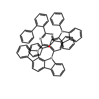 c1ccc(-c2nc(-c3ccccc3-c3ccccc3)nc(-n3c4ccccc4c4ccc5c6ccccc6n(-c6cc7c8ccccc8n(-c8ccccc8)c7cc6-c6ccccc6)c5c43)n2)cc1